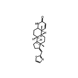 C[C@]12C=CC(=O)NC1CC[C@@H]1[C@H]2CC[C@]2(C)C(=Cc3nccs3)CC[C@@H]12